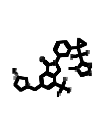 Cn1cnnc1C(F)(F)C1(c2cccc(N3Cc4c(cc(CN5CC[C@H](F)C5)cc4C(F)(F)F)C3=O)c2)CC1